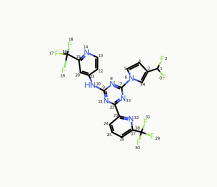 FC(F)c1ccn(-c2nc(Nc3ccnc(C(F)(F)F)c3)nc(-c3cccc(C(F)(F)F)n3)n2)c1